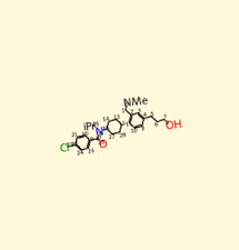 CNCc1cc(CCCO)ccc1[C@H]1CC[C@H](N(C(=O)c2ccc(Cl)cc2)C(C)C)CC1